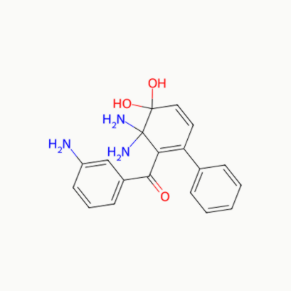 Nc1cccc(C(=O)C2=C(c3ccccc3)C=CC(O)(O)C2(N)N)c1